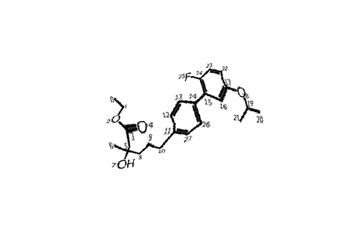 CCOC(=O)C(C)(O)CCCc1ccc(-c2cc(OC(C)C)ccc2F)cc1